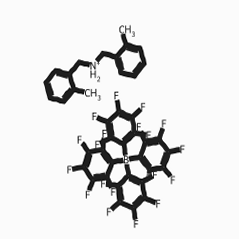 Cc1ccccc1C[NH2+]Cc1ccccc1C.Fc1c(F)c(F)c([B-](c2c(F)c(F)c(F)c(F)c2F)(c2c(F)c(F)c(F)c(F)c2F)c2c(F)c(F)c(F)c(F)c2F)c(F)c1F